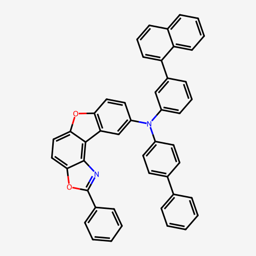 c1ccc(-c2ccc(N(c3cccc(-c4cccc5ccccc45)c3)c3ccc4oc5ccc6oc(-c7ccccc7)nc6c5c4c3)cc2)cc1